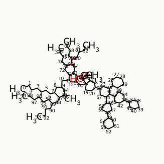 CCCCCCCC1CC(CC2CC(CC3(C(=O)O)CCC(C4CC(C5CCCCC5)C(C5CCC(C6CCCCC6)CC5)C(C5CCC(C6CCCCC6)CC5)C4)CC3C)C(C)C(CCCCCCC)C2CC(CCCC)CCCCCC)CC(C)C1CC(CCCC)CCCCCC